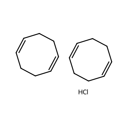 C1=CCCC=CCC1.C1=CCCC=CCC1.Cl